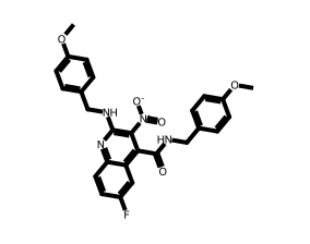 COc1ccc(CNC(=O)c2c([N+](=O)[O-])c(NCc3ccc(OC)cc3)nc3ccc(F)cc23)cc1